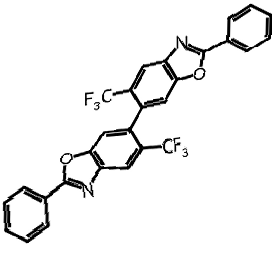 FC(F)(F)c1cc2nc(-c3ccccc3)oc2cc1-c1cc2oc(-c3ccccc3)nc2cc1C(F)(F)F